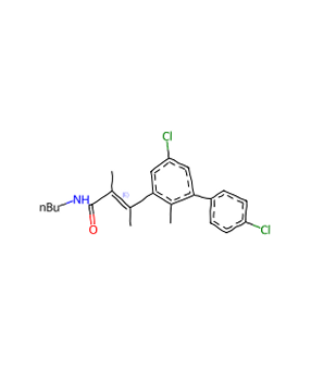 CCCCNC(=O)/C(C)=C(\C)c1cc(Cl)cc(-c2ccc(Cl)cc2)c1C